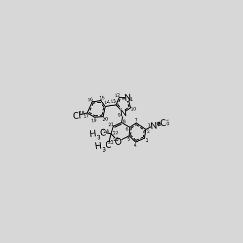 [C-]#[N+]c1ccc2c(c1)C(n1cncc1-c1ccc(Cl)cc1)=CC(C)(C)O2